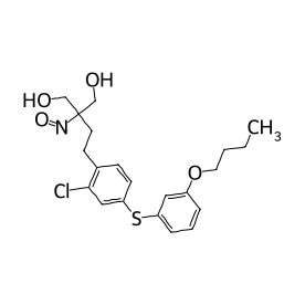 CCCCOc1cccc(Sc2ccc(CCC(CO)(CO)N=O)c(Cl)c2)c1